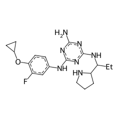 CCC(Nc1nc(N)nc(Nc2ccc(OC3CC3)c(F)c2)n1)C1CCCN1